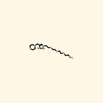 NCCOCCOCCOCCN1C=C(CN2CCSCC2)NN1